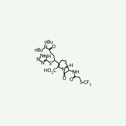 CCCCN(CCCC)C(=O)CCC(Sc1nnn[nH]1)C1=C(C(=O)O)N2C(=O)C(NC(=O)CSC(F)(F)F)[C@@H]2SC1